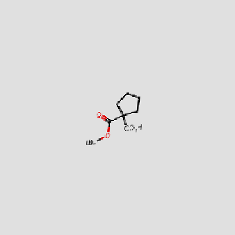 CC(C)(C)OC(=O)C1(C(=O)O)CCCC1